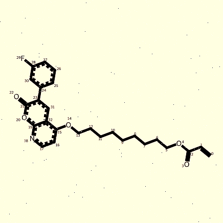 C=CC(=O)OCCCCCCCCCOc1ccnc2oc(=O)c(-c3cccc(F)c3)cc12